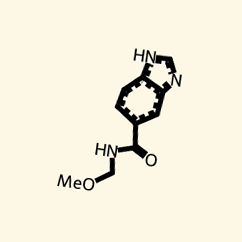 COCNC(=O)c1ccc2[nH]cnc2c1